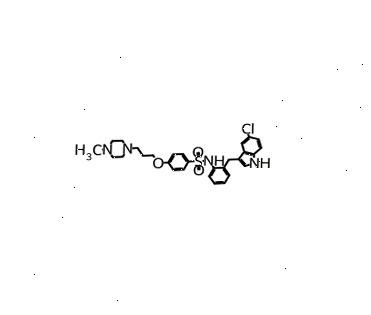 CN1CCN(CCCOc2ccc(S(=O)(=O)Nc3ccccc3Cc3c[nH]c4ccc(Cl)cc34)cc2)CC1